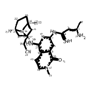 C/C(N)=C/C(=N)Nc1cc2c(=O)n(C)ccc2c(N[C@@H]2C[C@H]3CC[C@@H](C2)N3CCC#N)n1